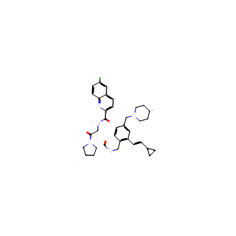 C[C@H](NC(=O)[C@@H]1C[C@@H](F)CN1C(=O)CNC(=O)c1ccc2cc(F)ccc2n1)c1ccc(CN2CCCCC2)cc1/C=C/C1CC1